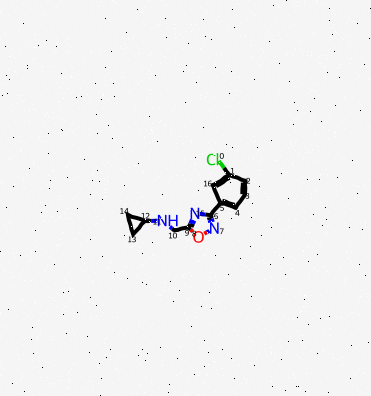 Clc1cccc(-c2noc(CNC3CC3)n2)c1